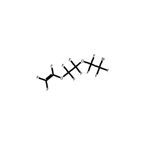 FC(F)=C(F)OC(F)(F)C(F)(F)OC(F)(F)C(F)(F)Br